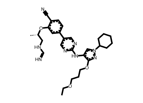 CCOCCCOc1nn(C2CCCCC2)cc1Nc1ncc(-c2ccc(C#N)c(O[C@@H](C)CNC=N)c2)cn1